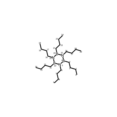 CCCCB1N(CCCC)B(CCCC)N(CCCC)B(CCCC)N1CCCC